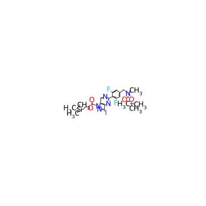 CN(Cc1cc(F)c(-c2ncc3c(n2)c(I)nn3C(=O)OCC[Si](C)(C)C)c(F)c1)C(=O)OC(C)(C)C